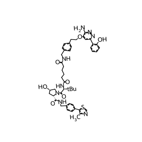 Cc1ncsc1-c1ccc(CNC(=O)[C@@H]2C[C@@H](O)CN2C(=O)[C@@H](NC(=O)CCCCC(=O)NCc2ccc(CCOc3cc(-c4ccccc4O)nnc3N)cc2)C(C)(C)C)cc1